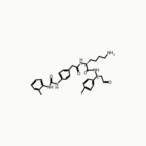 Cc1ccccc1NC(=O)Nc1ccc(CC(=O)N[C@@H](CCCCN)C(=O)N[C@@H](CC=O)c2ccc(I)cc2)cc1